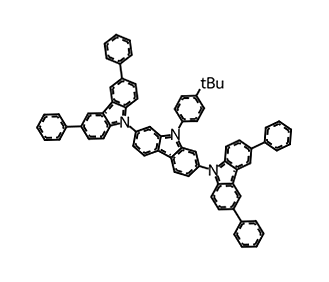 CC(C)(C)c1ccc(-n2c3cc(-n4c5ccc(-c6ccccc6)cc5c5cc(-c6ccccc6)ccc54)ccc3c3ccc(-n4c5ccc(-c6ccccc6)cc5c5cc(-c6ccccc6)ccc54)cc32)cc1